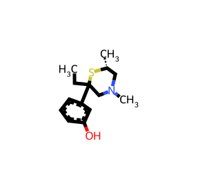 CCC1(c2cccc(O)c2)CN(C)C[C@@H](C)S1